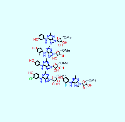 COC[C@H]1O[C@@H](n2cnc3c(Nc4ccc(O)c(Cl)c4)nc(C)nc32)[C@H](O)[C@@H]1O.COC[C@H]1O[C@@H](n2cnc3c(Nc4ccc(O)cc4)nc(C)nc32)[C@H](O)[C@@H]1O.COC[C@H]1O[C@@H](n2cnc3c(Nc4ccc(O)cc4C)nc(C)nc32)[C@H](O)[C@@H]1O.COC[C@H]1O[C@@H](n2cnc3c(Nc4ccc(O)cc4F)nc(C)nc32)[C@H](O)[C@@H]1O.COC[C@H]1O[C@@H](n2cnc3c(Nc4cccc(O)c4)nc(C)nc32)[C@H](O)[C@@H]1O